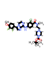 COc1ccc(-c2cnc3c(Nc4ccc(C(=O)N(C)CCN5CCN(C(=O)OC(C)(C)C)CC5)c(Cl)c4)nccn23)c(F)c1F